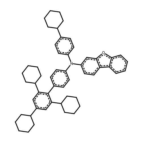 c1ccc2c(c1)oc1cc(N(c3ccc(-c4c(C5CCCCC5)cc(C5CCCCC5)cc4C4CCCCC4)cc3)c3ccc(C4CCCCC4)cc3)ccc12